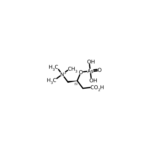 C[N+](C)(C)C[C@H](CC(=O)O)O[As](=O)(O)O